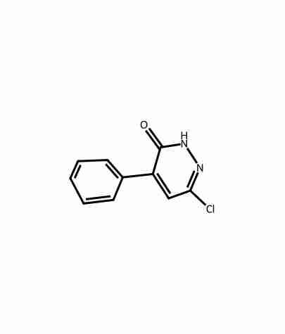 O=c1[nH]nc(Cl)cc1-c1ccccc1